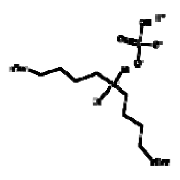 CCCCCCCCCCCCCC[N+](CC)(CC)CCCCCCCCCCCCCC.O=P([O-])([O-])O.[H+]